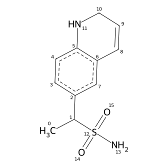 CC(c1ccc2c(c1)C=CCN2)S(N)(=O)=O